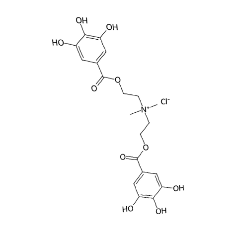 C[N+](C)(CCOC(=O)c1cc(O)c(O)c(O)c1)CCOC(=O)c1cc(O)c(O)c(O)c1.[Cl-]